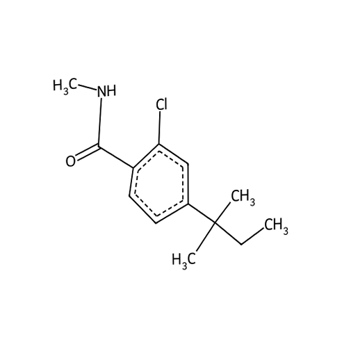 CCC(C)(C)c1ccc(C(=O)NC)c(Cl)c1